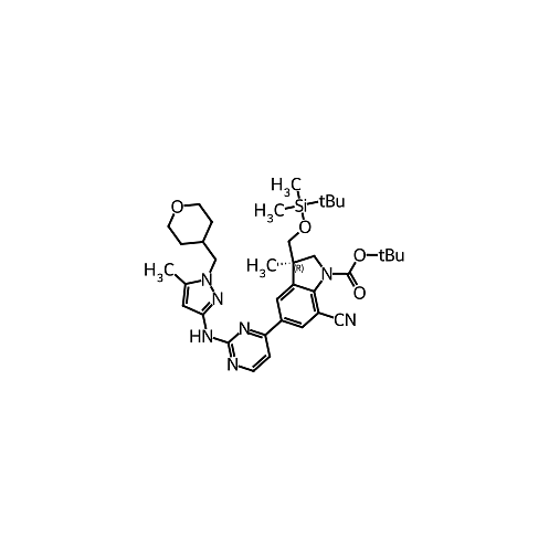 Cc1cc(Nc2nccc(-c3cc(C#N)c4c(c3)[C@@](C)(CO[Si](C)(C)C(C)(C)C)CN4C(=O)OC(C)(C)C)n2)nn1CC1CCOCC1